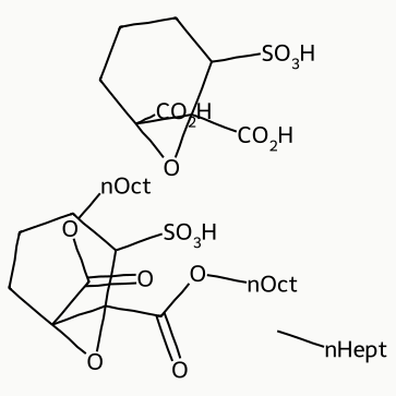 CCCCCCCC.CCCCCCCCOC(=O)C12CCCC(S(=O)(=O)O)C1(C(=O)OCCCCCCCC)O2.O=C(O)C12CCCC(S(=O)(=O)O)C1(C(=O)O)O2